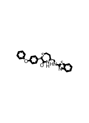 O=C1N[C@H](CNc2nc3ccccc3s2)CCS[C@@H]1c1ccc(Oc2ccccc2)cc1